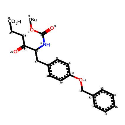 CC(C)(C)OC(=O)NC(Cc1ccc(OCc2ccccc2)cc1)C(=O)CCC(=O)O